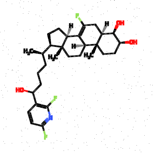 C[C@H](CCCC(O)c1ccc(F)nc1F)[C@H]1CC[C@H]2C3=C(F)C[C@H]4[C@@H](O)[C@@H](O)CC[C@]4(C)[C@H]3CC[C@]12C